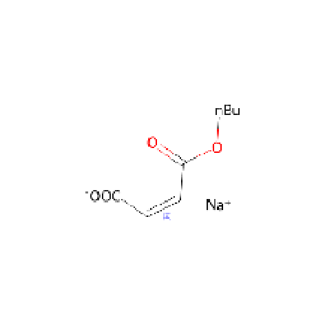 CCCCOC(=O)/C=C\C(=O)[O-].[Na+]